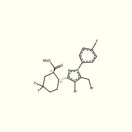 COC(=O)[C@@H]1CC(F)(F)CC[C@H]1c1nn(-c2ccc(F)cc2)c(CBr)c1Br